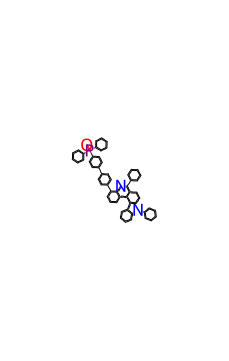 O=P(c1ccccc1)(c1ccccc1)c1ccc(-c2ccc(-c3cccc4c3nc(-c3ccccc3)c3ccc5c(c6ccccc6n5-c5ccccc5)c34)cc2)cc1